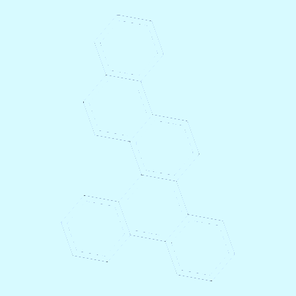 [c]1cccc2c1c1ccccc1c1ccc3c4ccccc4ccc3c21